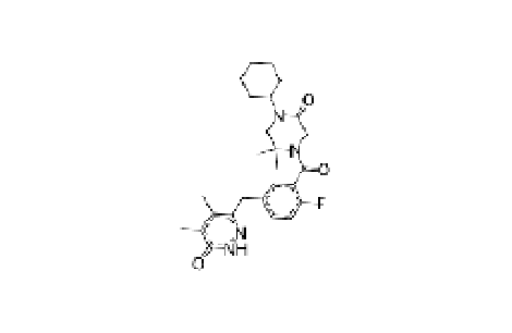 Cc1c(Cc2ccc(F)c(C(=O)N3CC(=O)N(C4CCCCC4)CC3(C)C)c2)n[nH]c(=O)c1C